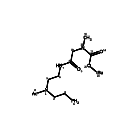 CC(=O)N(CCP)CCNC(=O)CN(C)C(=O)OC(C)(C)C